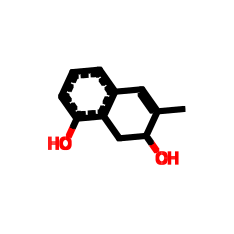 CC1=Cc2cccc(O)c2CC1O